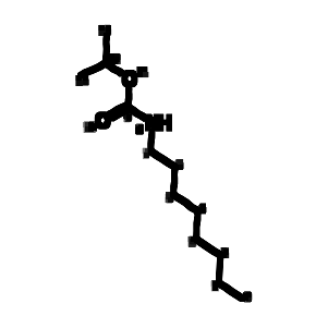 CCCCCCCCNC(=O)OC(C)C